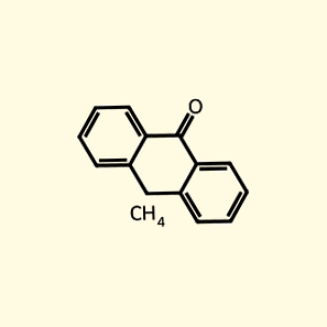 C.O=C1c2ccccc2Cc2ccccc21